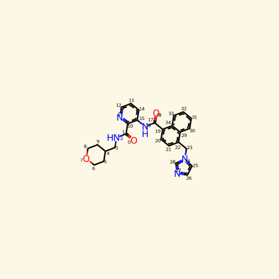 O=C(NCC1CCOCC1)c1ncccc1NC(=O)c1ccc(Cn2ccnc2)c2ccccc12